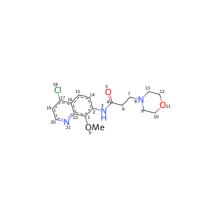 COc1c(NC(=O)CCN2CCOCC2)ccc2c(Cl)ccnc12